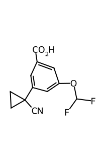 N#CC1(c2cc(OC(F)F)cc(C(=O)O)c2)CC1